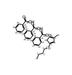 CCC[CH2][Ti][C]1=CC(C)=CC1.O=C(O)c1ccccc1.O=C(O)c1ccccc1.O=C(O)c1ccccc1